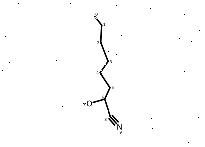 CCCCCCC([O])C#N